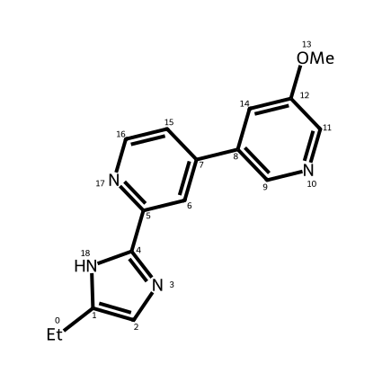 CCc1cnc(-c2cc(-c3cncc(OC)c3)ccn2)[nH]1